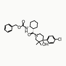 CC1(C)CN(C(=O)[C@H]2CCCC[C@H]2NC(=O)OCc2ccccc2)CC[C@]1(O)c1ccc(Cl)cc1